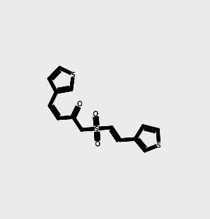 O=C(/C=C\c1ccsc1)CS(=O)(=O)/C=C/c1ccsc1